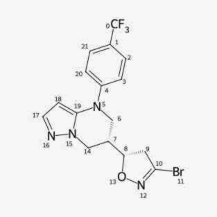 FC(F)(F)c1ccc(N2C[C@H]([C@@H]3CC(Br)=NO3)Cn3nccc32)cc1